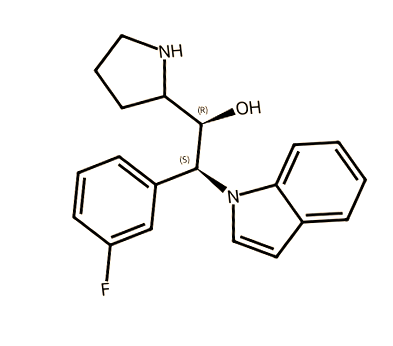 O[C@H](C1CCCN1)[C@H](c1cccc(F)c1)n1ccc2ccccc21